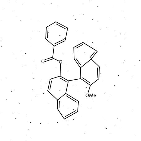 COc1ccc2ccccc2c1-c1c(OC(=O)c2ccccc2)ccc2ccccc12